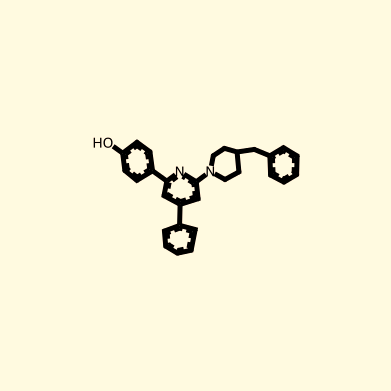 Oc1ccc(-c2cc(-c3ccccc3)cc(N3CCC(Cc4ccccc4)CC3)n2)cc1